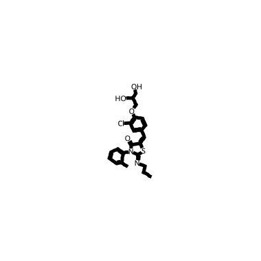 CCC/N=C1\SC(=Cc2ccc(OCC(O)CO)c(Cl)c2)C(=O)N1c1ccccc1C